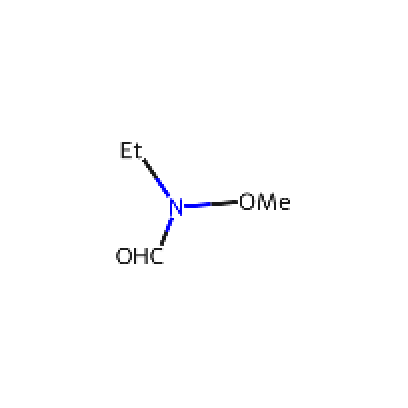 [CH2]CN(C=O)OC